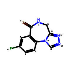 Fc1ccc2c(c1)C(=S)NCc1nncn1-2